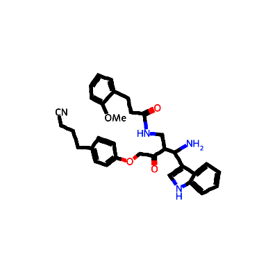 COc1ccccc1CCC(=O)NCC(C(=O)COc1ccc(CCCC#N)cc1)C(N)c1c[nH]c2ccccc12